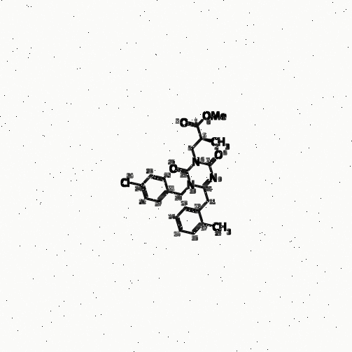 COC(=O)[C@@H](C)Cn1c(=O)nc(Cc2ccccc2C)n(Cc2ccc(Cl)cc2)c1=O